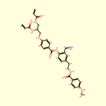 C=CC(=O)OCC(COc1ccc(C(=O)Oc2ccc(CCOC(=O)c3ccc(OC(C)(C)C)cc3)cc2C=N)cc1)OC(=O)C=C